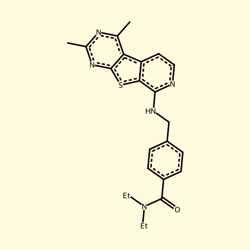 CCN(CC)C(=O)c1ccc(CNc2nccc3c2sc2nc(C)nc(C)c23)cc1